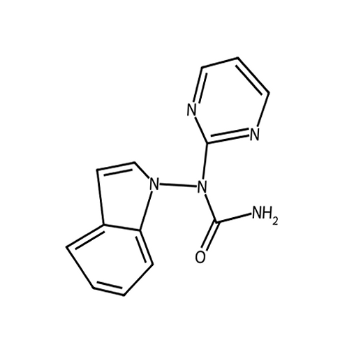 NC(=O)N(c1ncccn1)n1ccc2ccccc21